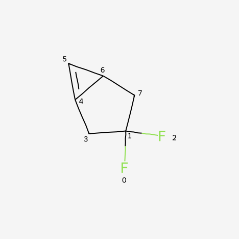 FC1(F)CC2=CC2C1